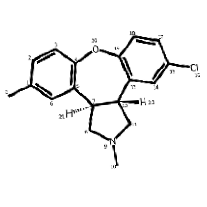 Cc1ccc2c(c1)[C@@H]1CN(C)C[C@H]1c1cc(Cl)ccc1O2